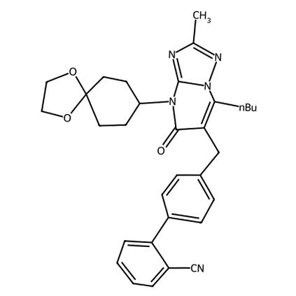 CCCCc1c(Cc2ccc(-c3ccccc3C#N)cc2)c(=O)n(C2CCC3(CC2)OCCO3)c2nc(C)nn12